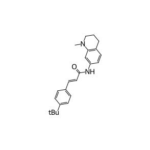 CN1CCCc2ccc(NC(=O)C=Cc3ccc(C(C)(C)C)cc3)cc21